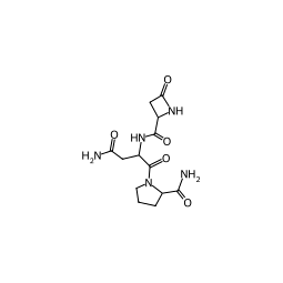 NC(=O)CC(NC(=O)C1CC(=O)N1)C(=O)N1CCCC1C(N)=O